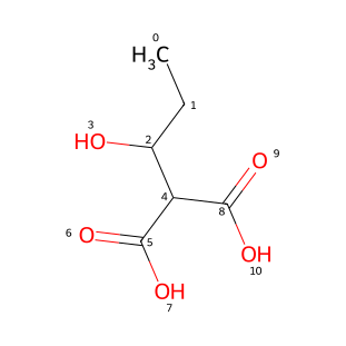 CCC(O)C(C(=O)O)C(=O)O